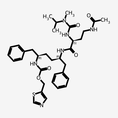 CC(=O)NCC[C@H](NC(=O)N(C)C(C)C)C(=O)N[C@H](CC[C@H](Cc1ccccc1)NC(=O)OCc1cncs1)Cc1ccccc1